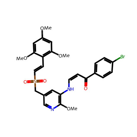 COc1cc(OC)c(/C=C/S(=O)(=O)Cc2cnc(OC)c(N/C=C\C(=O)c3ccc(Br)cc3)c2)c(OC)c1